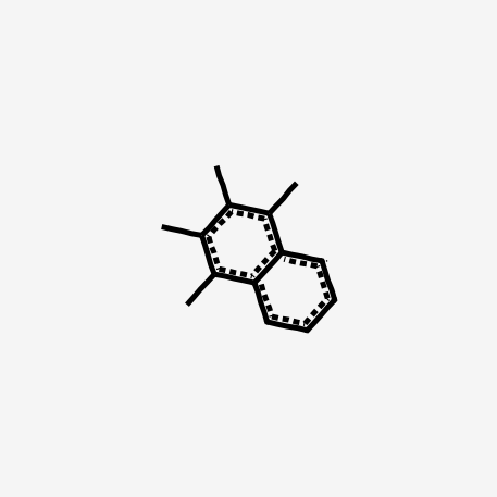 Cc1c(C)c(C)c2ccc[c]c2c1C